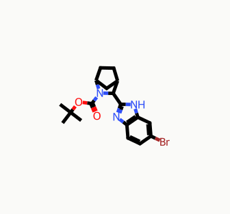 CC(C)(C)OC(=O)N1C2CCC(C2)C1c1nc2ccc(Br)cc2[nH]1